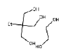 CCC(CO)(CO)CO.OCCO